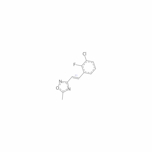 Cc1nc(/C=C/c2cccc(Cl)c2F)no1